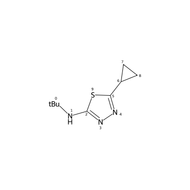 CC(C)(C)Nc1nnc(C2CC2)s1